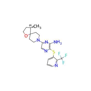 C[C@@H]1CCOC12CCN(c1cnc(Sc3cccnc3C(F)(F)F)c(N)n1)CC2